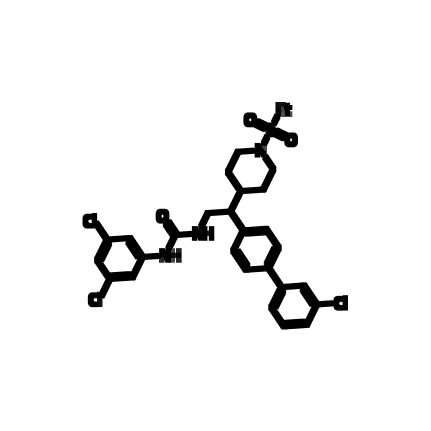 CCS(=O)(=O)N1CCC(C(CNC(=O)Nc2cc(Cl)cc(Cl)c2)c2ccc(-c3cccc(Cl)c3)cc2)CC1